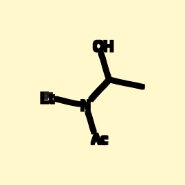 CCN(C(C)=O)C(C)O